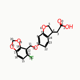 O=C(O)CC1COc2cc(OCc3c(F)ccc4c3OCO4)ccc21